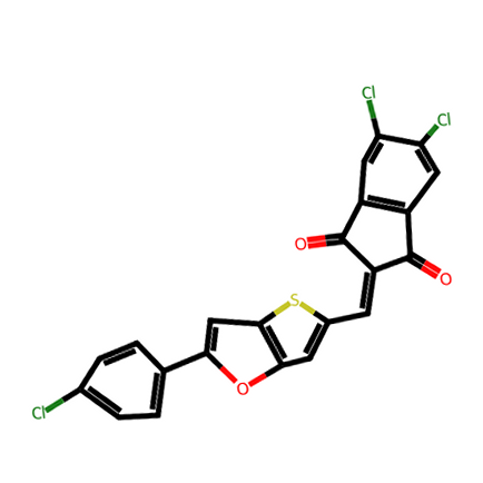 O=C1C(=Cc2cc3oc(-c4ccc(Cl)cc4)cc3s2)C(=O)c2cc(Cl)c(Cl)cc21